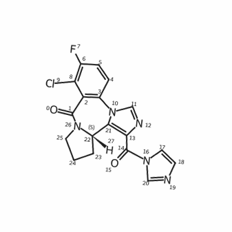 O=C1c2c(ccc(F)c2Cl)-n2cnc(C(=O)n3ccnc3)c2[C@@H]2CCCN12